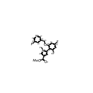 COC(=O)c1cc(-c2c(F)cc(F)cc2OCc2cncc(F)c2)n(C)c1